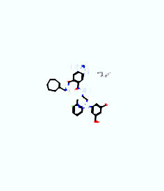 O=C([O-])c1cc(NC(=O)[C@H](Cc2ccccc2F)NC(=O)c2cc3nc[nH]c3cc2C(=O)NCC2CCCCCC2)cc(C(=O)[O-])c1.[Na+].[Na+]